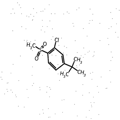 CC(C)(C)c1ccc(S(C)(=O)=O)c(Cl)c1